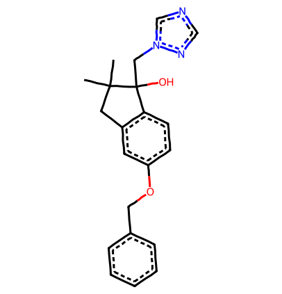 CC1(C)Cc2cc(OCc3ccccc3)ccc2C1(O)Cn1cncn1